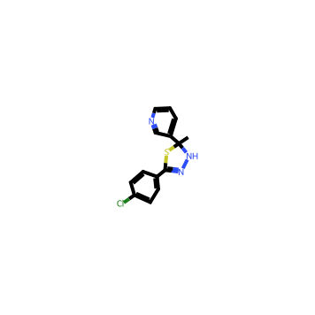 CC1(c2cccnc2)NN=C(c2ccc(Cl)cc2)S1